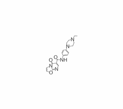 CCN1CCN(c2ccc(NC(=O)c3cnc4occn4c3=O)cc2)CC1